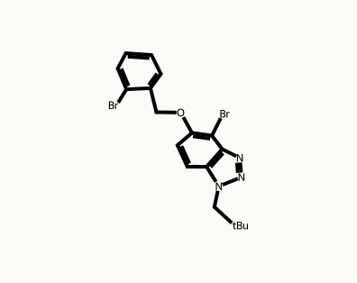 CC(C)(C)Cn1nnc2c(Br)c(OCc3ccccc3Br)ccc21